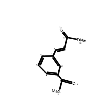 CNC(=O)c1cccc(C=CC(=O)OC)c1